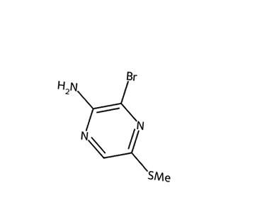 CSc1cnc(N)c(Br)n1